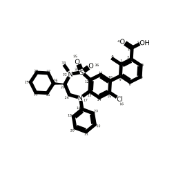 Cc1c(C(=O)O)cccc1-c1cc2c(cc1Cl)N(c1ccccc1)C[C@@H](C1CCCCC1)N(C)S2(=O)=O